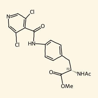 COC(=O)[C@H](Cc1ccc(NC(=O)c2c(Cl)cncc2Cl)cc1)NC(C)=O